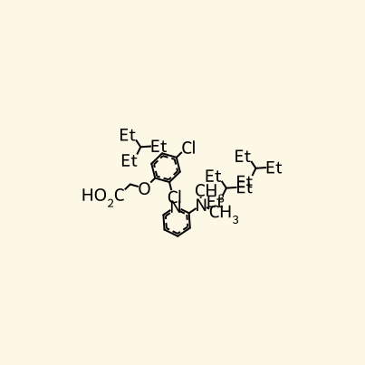 CCC(CC)CC.CCC(CC)CC.CCC(CC)CC.CN(C)c1ccccn1.O=C(O)COc1ccc(Cl)cc1Cl